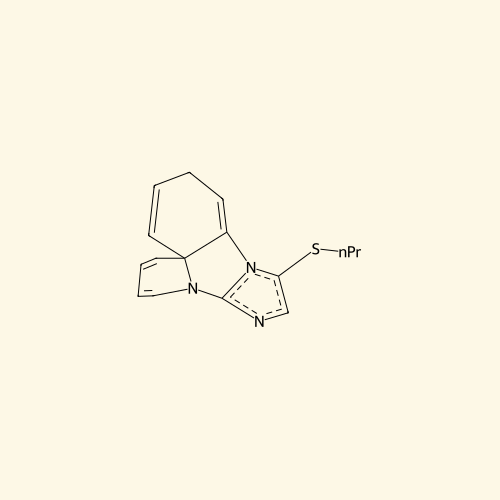 CCCSc1cnc2n1C1=CCC=CC13C=CC=CN23